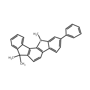 Cn1c2cc(-c3ccccc3)ccc2c2ccc3c(c21)-c1ccccc1C3(C)C